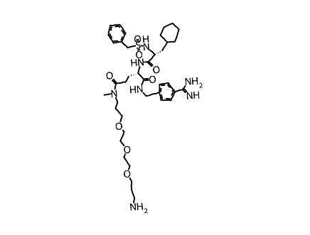 CN(CCCOCCOCCOCCCN)C(=O)CC[C@H](NC(=O)[C@@H](CC1CCCCC1)NS(=O)(=O)Cc1ccccc1)C(=O)NCc1ccc(C(=N)N)cc1